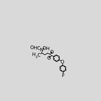 CC(CCS(=O)(=O)c1ccc(Oc2ccc(F)cc2)cc1)N(O)C=O